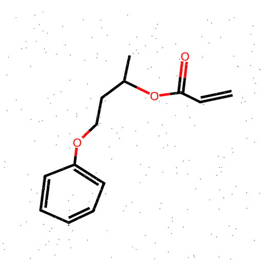 C=CC(=O)OC(C)CCOc1cc[c]cc1